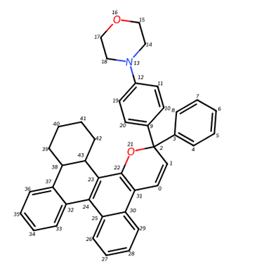 C1=CC(c2ccccc2)(c2ccc(N3CCOCC3)cc2)Oc2c3c(c4ccccc4c21)-c1ccccc1C1CCCCC31